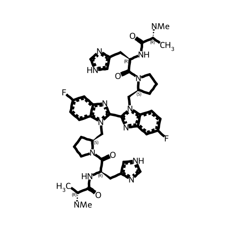 CN[C@H](C)C(=O)N[C@H](Cc1c[nH]cn1)C(=O)N1CCC[C@H]1Cn1c(-c2nc3cc(F)ccc3n2C[C@@H]2CCCN2C(=O)[C@@H](Cc2c[nH]cn2)NC(=O)[C@@H](C)NC)nc2cc(F)ccc21